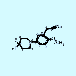 COc1ccc(N2CCC(F)(F)CC2)cc1CC#N